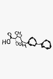 C[C@@H](CC(O)c1ccc(-c2ccccc2)cc1)[C@H](Cl)C(=O)O